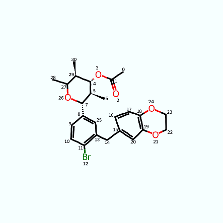 CC(=O)O[C@@H]1[C@@H](C)[C@H](c2ccc(Br)c(Cc3ccc4c(c3)OCCO4)c2)OC(C)[C@H]1C